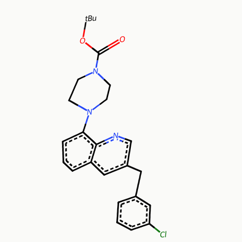 CC(C)(C)OC(=O)N1CCN(c2cccc3cc(Cc4cccc(Cl)c4)cnc23)CC1